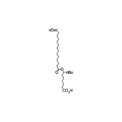 CCCCCCCCCCCCCCCCCCCCCCC(=O)OC(CCCC)CCCCCC(=O)O